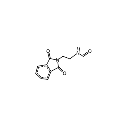 O=CNCCN1C(=O)c2ccccc2C1=O